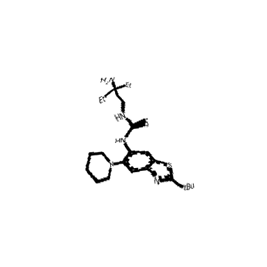 CCC(N)(CC)CNC(=S)Nc1cc2sc(C(C)(C)C)nc2cc1N1CCCCC1